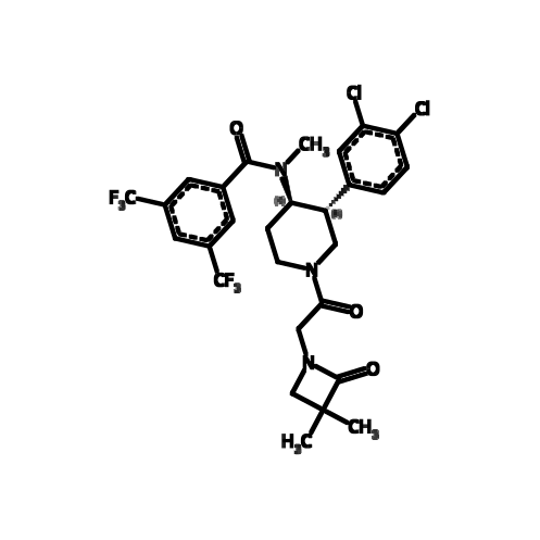 CN(C(=O)c1cc(C(F)(F)F)cc(C(F)(F)F)c1)[C@@H]1CCN(C(=O)CN2CC(C)(C)C2=O)C[C@H]1c1ccc(Cl)c(Cl)c1